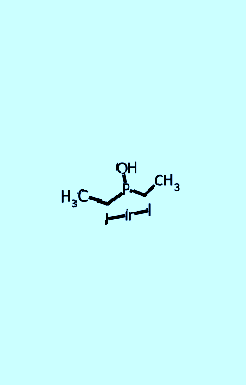 CCP(O)CC.[I][Ir][I]